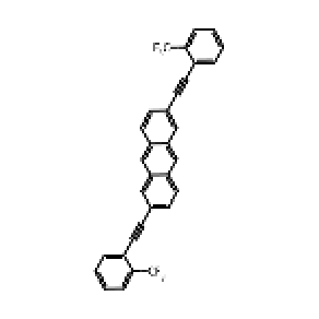 FC(F)(F)c1ccccc1C#Cc1ccc2cc3cc(C#Cc4ccccc4C(F)(F)F)ccc3cc2c1